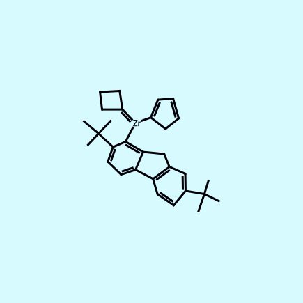 CC(C)(C)c1ccc2c(c1)Cc1c-2ccc(C(C)(C)C)[c]1[Zr]([C]1=CC=CC1)=[C]1CCC1